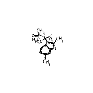 Cc1ccc2c(c1)nc(C)n2C(C)(C)OP(C)(C)=O